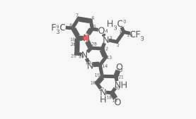 CC(CN(Oc1ccc(C(F)(F)F)cn1)c1cc(-c2c[nH]c(=O)[nH]c2=O)nn2ccnc12)C(F)(F)F